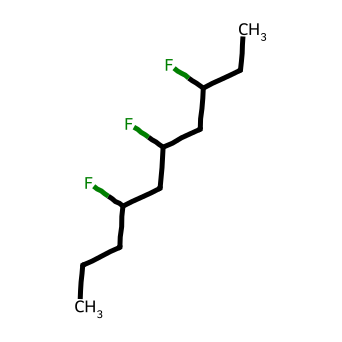 CCCC(F)CC(F)CC(F)CC